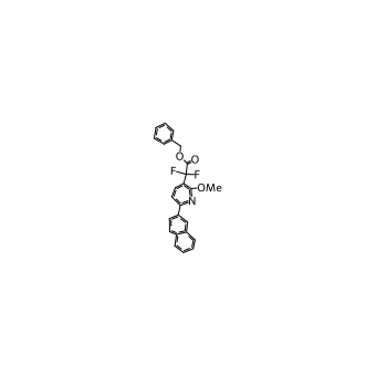 COc1nc(-c2ccc3ccccc3c2)ccc1C(F)(F)C(=O)OCc1ccccc1